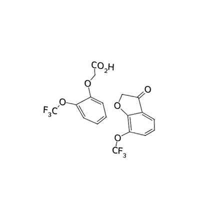 O=C(O)COc1ccccc1OC(F)(F)F.O=C1COc2c(OC(F)(F)F)cccc21